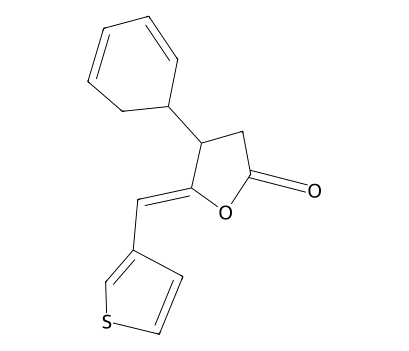 O=C1CC(C2C=CC=CC2)/C(=C/c2ccsc2)O1